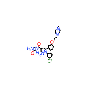 C=C(/C=C(/c1cccc(OCCCN2CCN(C)CC2)c1)N(N)c1cccc(Cl)c1)C(=O)N1CNC(=O)C1